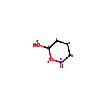 OC1CCCPO1